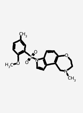 COc1ccc(C)cc1S(=O)(=O)n1ccc2c3c(ccc21)OCCN(C)C3